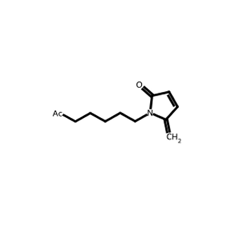 C=C1C=CC(=O)N1CCCCCC(C)=O